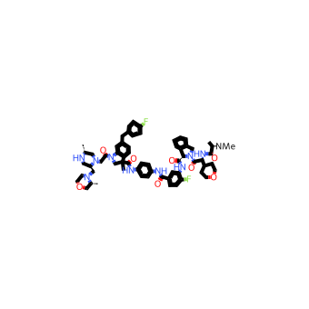 CN[C@@H](C)C(=O)N[C@H](C(=O)N1Cc2ccccc2[C@H]1C(=O)Nc1cc(C(=O)Nc2ccc(NC(=O)C3(C)CN(C(=O)CN4C[C@@H](C)NC[C@@H]4CN4CCOC[C@H]4C)c4cc(Cc5ccc(F)cc5)ccc43)cc2)ccc1F)C1CCOCC1